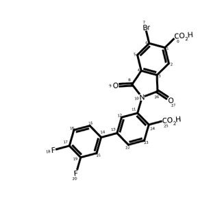 O=C(O)c1cc2c(cc1Br)C(=O)N(c1cc(-c3ccc(F)c(F)c3)ccc1C(=O)O)C2=O